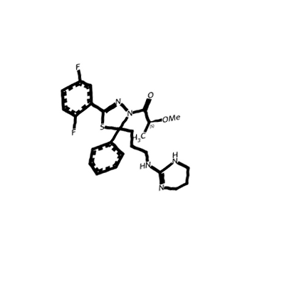 CO[C@@H](C)C(=O)N1N=C(c2cc(F)ccc2F)SC1(CCCNC1=NCCCN1)c1ccccc1